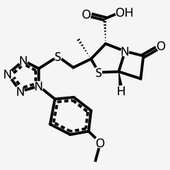 COc1ccc(-n2nnnc2SC[C@]2(C)S[C@H]3CC(=O)N3[C@H]2C(=O)O)cc1